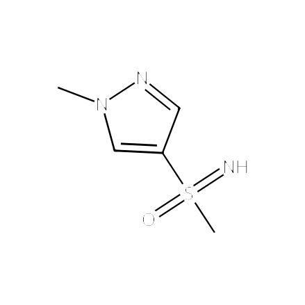 Cn1cc(S(C)(=N)=O)cn1